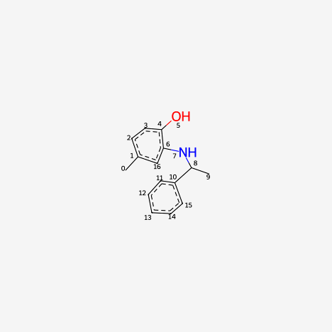 Cc1ccc(O)c(NC(C)c2ccccc2)c1